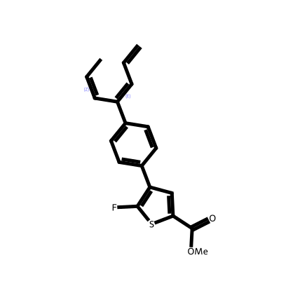 C=C/C=C(\C=C/C)c1ccc(-c2cc(C(=O)OC)sc2F)cc1